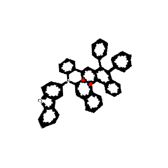 c1ccc(-c2c(-c3ccccc3)c3cc(-c4ccccc4N(c4ccc5ccccc5c4)c4ccc5oc6ccccc6c5c4)ccc3c3ccccc23)cc1